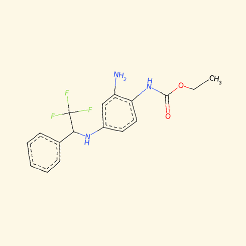 CCOC(=O)Nc1ccc(NC(c2ccccc2)C(F)(F)F)cc1N